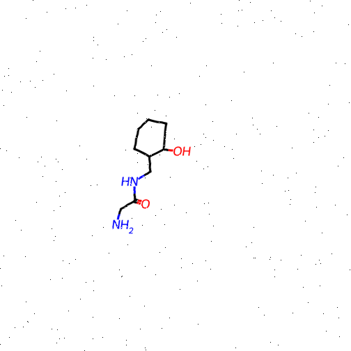 NCC(=O)NCC1CCCCC1O